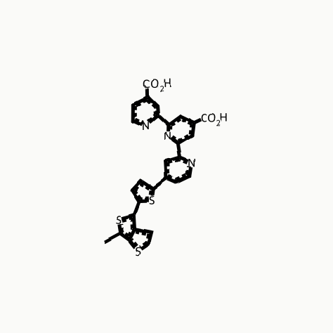 Cc1sc(-c2ccc(-c3ccnc(-c4cc(C(=O)O)cc(-c5cc(C(=O)O)ccn5)n4)c3)s2)c2ccsc12